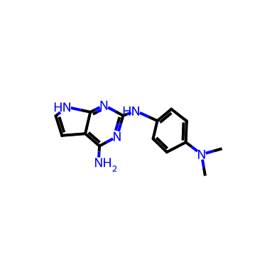 CN(C)c1ccc(Nc2nc(N)c3cc[nH]c3n2)cc1